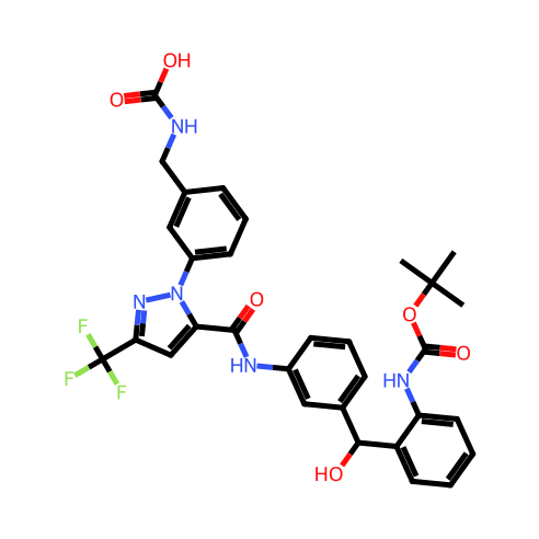 CC(C)(C)OC(=O)Nc1ccccc1C(O)c1cccc(NC(=O)c2cc(C(F)(F)F)nn2-c2cccc(CNC(=O)O)c2)c1